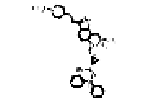 CN(C)Cc1c(OC[C@@H]2C[C@@H]2C(O[SiH](c2ccccc2)c2ccccc2)C(C)(C)C)ccc2c(CCC3CCN(C(=O)O)CC3)noc12